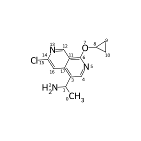 CC(N)c1cnc(OC2CC2)c2cnc(Cl)cc12